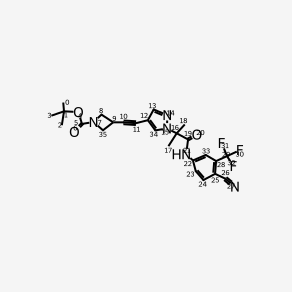 CC(C)(C)OC(=O)N1CC(C#Cc2cnn(C(C)(C)C(=O)Nc3ccc(C#N)c(C(F)(F)F)c3)c2)C1